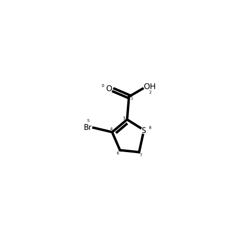 O=C(O)C1=C(Br)CCS1